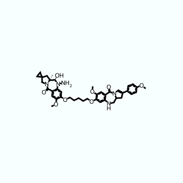 COc1ccc(C2=CN3C(=O)c4cc(OC)c(OCCCCCOc5cc6c(cc5OC)C(=O)N5CC7(CC7)C[C@@]5(C)[C@H](O)N6N)cc4NCC3C2)cc1